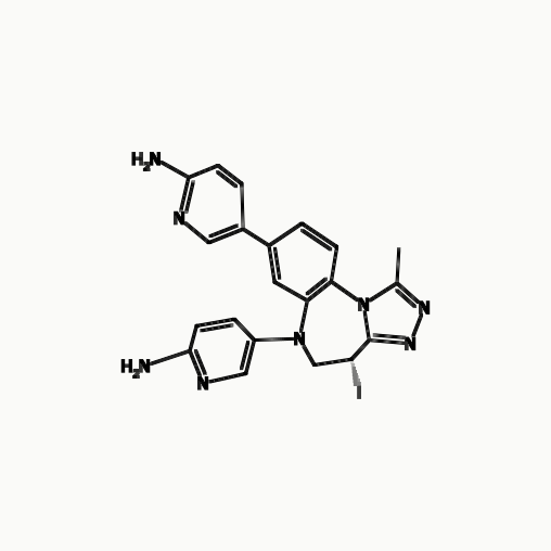 Cc1nnc2n1-c1ccc(-c3ccc(N)nc3)cc1N(c1ccc(N)nc1)C[C@H]2I